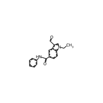 CCn1cc(C=O)c2cc(C(=O)Nc3ccccc3)ccc21